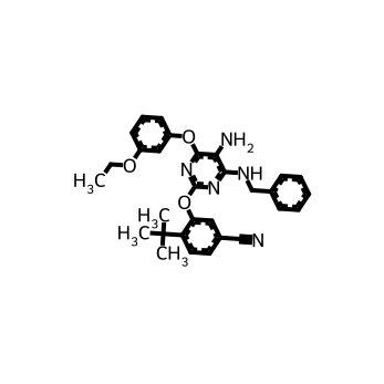 CCOc1cccc(Oc2nc(Oc3cc(C#N)ccc3C(C)(C)C)nc(NCc3ccccc3)c2N)c1